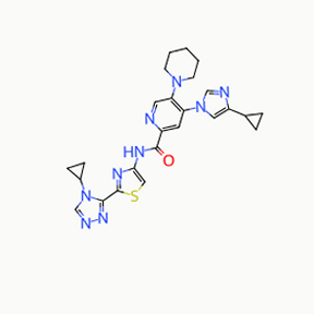 O=C(Nc1csc(-c2nncn2C2CC2)n1)c1cc(-n2cnc(C3CC3)c2)c(N2CCCCC2)cn1